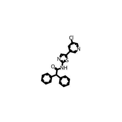 O=C(Nc1ncc(-c2cncc(Cl)c2)s1)C(c1ccccc1)c1ccccc1